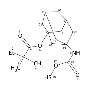 CCC(C)(C)C(=O)OC12CC3CC(CC(NC(=O)OS)(C3)C1)C2